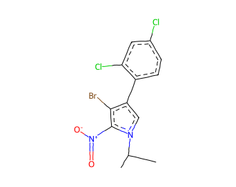 CC(C)n1cc(-c2ccc(Cl)cc2Cl)c(Br)c1[N+](=O)[O-]